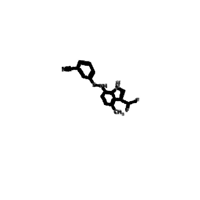 Cc1ccc(NSc2cccc(C#N)c2)c2[nH]cc(C(F)F)c12